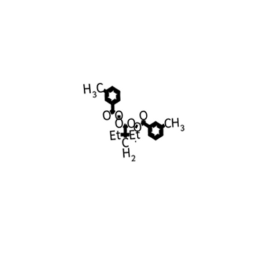 [CH2]C(CC)(CC)[C](OOC(=O)c1cccc(C)c1)OOC(=O)c1cccc(C)c1